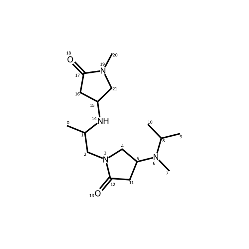 CC(CN1CC(N(C)C(C)C)CC1=O)NC1CC(=O)N(C)C1